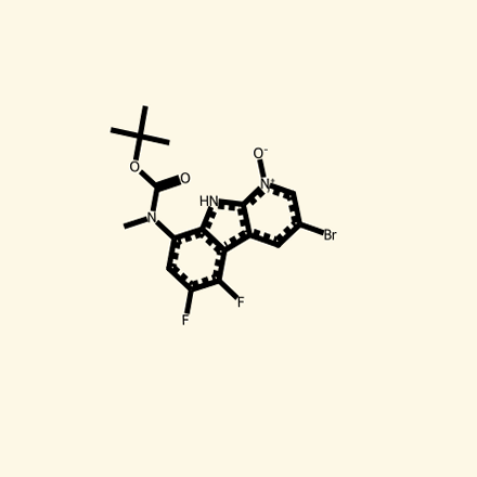 CN(C(=O)OC(C)(C)C)c1cc(F)c(F)c2c1[nH]c1c2cc(Br)c[n+]1[O-]